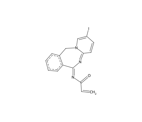 C=CC(=O)N=C1N=C2C=CC(I)=CN2Cc2ccccc21